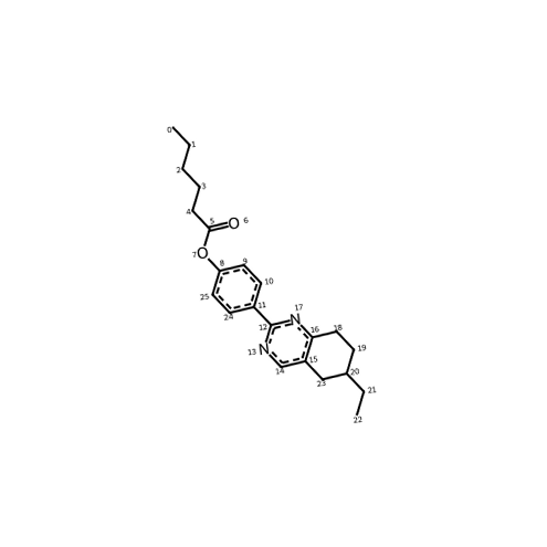 CCCCCC(=O)Oc1ccc(-c2ncc3c(n2)CCC(CC)C3)cc1